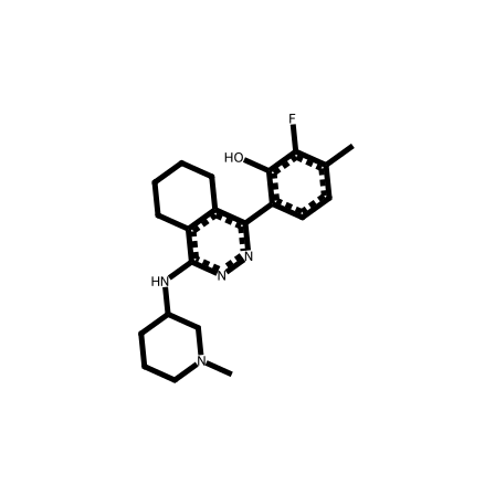 Cc1ccc(-c2nnc(NC3CCCN(C)C3)c3c2CCCC3)c(O)c1F